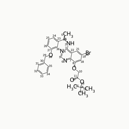 C[C@@H](Nc1ncnc2c(OCC(=O)OC(C)(C)C)cc(Br)cc12)c1cccc(OCc2ccccc2)c1